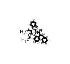 CCOC(=O)C(CC)n1c(=NC(=O)C(=Cc2ccccc2)c2ccccc2)sc2ccccc21